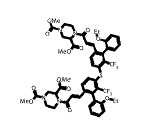 CCOc1ccccc1-c1c(/C=C/C(=O)N2CCN(C(=O)OC)CC2C(=O)OC)ccc(Sc2ccc(/C=C/C(=O)N3CCN(C(=O)OC)CC3C(=O)OC)c(-c3ccccc3OCC)c2C(F)(F)F)c1C(F)(F)F